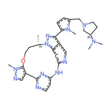 C[C@H]1CCOc2c(cnn2C)-c2nccc(n2)Nc2cc3c(cn2)c(-c2ccc(CN4CC[C@@H](N(C)C)C4)n2C)nn31